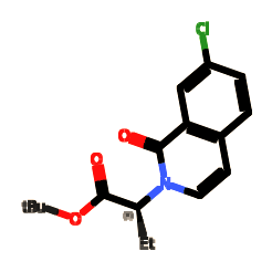 CC[C@@H](C(=O)OC(C)(C)C)n1ccc2ccc(Cl)cc2c1=O